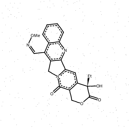 CC[C@@]1(O)C(=O)OCc2c1cc1n(c2=O)Cc2c-1nc1ccccc1c2/C=N\OC